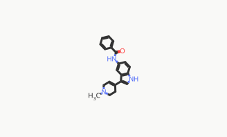 CN1CC=C(c2c[nH]c3ccc(NC(=O)c4ccccc4)cc23)CC1